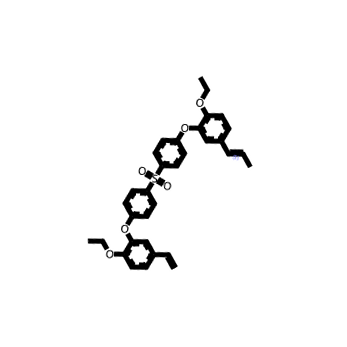 C=Cc1ccc(OCC)c(Oc2ccc(S(=O)(=O)c3ccc(Oc4cc(/C=C/C)ccc4OCC)cc3)cc2)c1